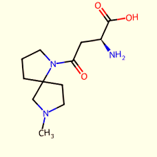 CN1CCC2(CCCN2C(=O)C[C@H](N)C(=O)O)C1